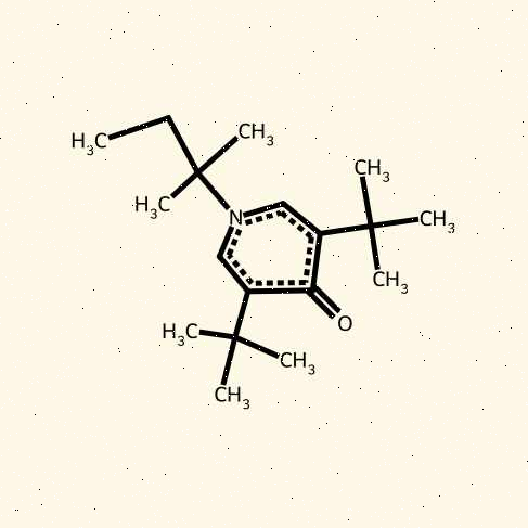 CCC(C)(C)n1cc(C(C)(C)C)c(=O)c(C(C)(C)C)c1